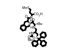 CSCCC(NC(=O)C1Cc2ccccc2CN1C(=O)[C@@H](NCC(CSC(c1ccccc1)(c1ccccc1)c1ccccc1)NC(=O)OC(C)(C)C)C(C)(C)C)C(=O)O